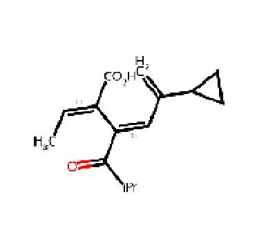 C=C(/C=C(C(=O)C(C)C)\C(=C/C)C(=O)O)C1CC1